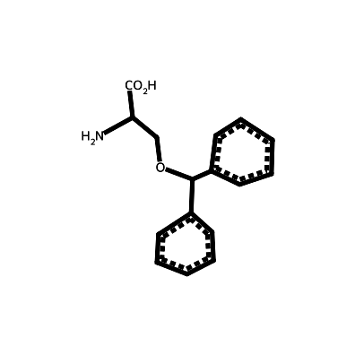 NC(COC(c1ccccc1)c1ccccc1)C(=O)O